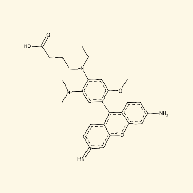 CCN(CCCC(=O)O)c1cc(OC)c(-c2c3ccc(=N)cc-3oc3cc(N)ccc23)cc1N(C)C